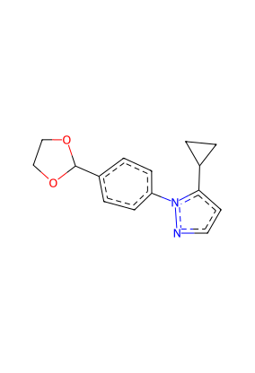 c1cc(C2CC2)n(-c2ccc(C3OCCO3)cc2)n1